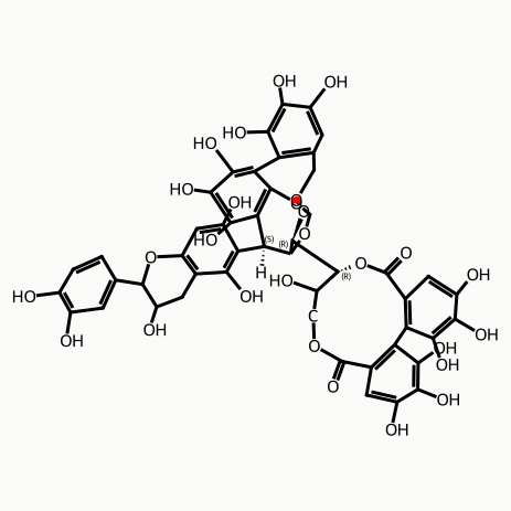 O=C1OCC(O)[C@H]([C@@H]2OOCc3cc(O)c(O)c(O)c3-c3c(O)c(O)c(O)c4c3OCOC2[C@H]4c2c(O)cc3c(c2O)CC(O)C(c2ccc(O)c(O)c2)O3)OC(=O)c2cc(O)c(O)c(O)c2-c2c1cc(O)c(O)c2O